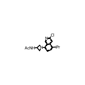 CC(=O)NC1CN(c2ccc(C(C)C)c3cc(Cl)ncc23)C1